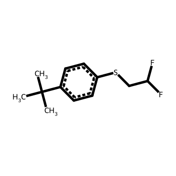 CC(C)(C)c1ccc(SCC(F)F)cc1